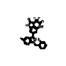 CC12C(=O)Nc3cc(-c4nn(Cc5ccccc5F)c5ncc(F)cc45)cc(c31)NC(=O)C2(F)F